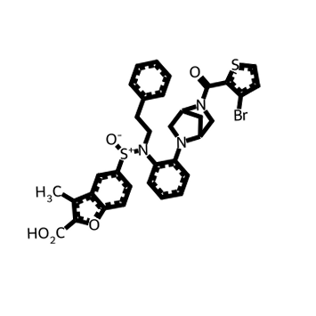 Cc1c(C(=O)O)oc2ccc([S+]([O-])N(CCc3ccccc3)c3ccccc3N3CC4CC3CN4C(=O)c3sccc3Br)cc12